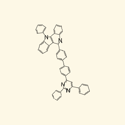 c1ccc(-c2cc(-c3ccc(-c4ccc(-c5nc6ccccc6c6c5c5ccccc5n6-c5ccccc5)cc4)cc3)nc(-c3ccccc3)n2)cc1